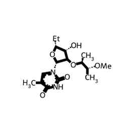 CC[C@H]1O[C@@H](n2cc(C)c(=O)[nH]c2=O)C(O[C@@H](C)[C@@H](C)OC)[C@H]1O